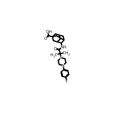 CC(C)(C(=O)NC1C2CC3CC1CC(C(=O)O)(C3)C2)N1CCN(c2ccc(F)cc2)CC1